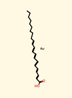 CCCCCCCCCC=CC=CC=CC=CC=CC=CC(=O)O.[Au]